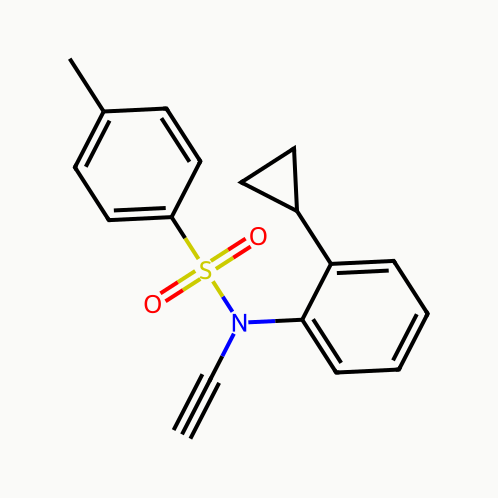 C#CN(c1ccccc1C1CC1)S(=O)(=O)c1ccc(C)cc1